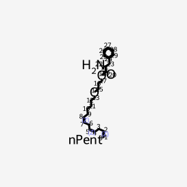 CCCCC/C=C\C/C=C\C/C=C\CCCCCOCCCOC(=O)C(N)Cc1ccccc1